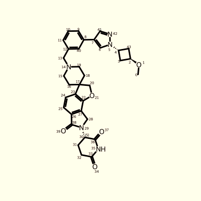 CO[C@H]1C[C@H](n2cc(-c3cccc(CN4CCC5(CC4)COc4c5ccc5c4CN([C@H]4CCC(=O)NC4=O)C5=O)c3)cn2)C1